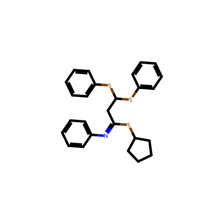 c1ccc(N=C(CC(Sc2ccccc2)Sc2ccccc2)SC2CCCC2)cc1